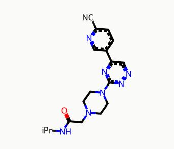 CC(C)NC(=O)CN1CCN(c2nncc(-c3ccc(C#N)nc3)n2)CC1